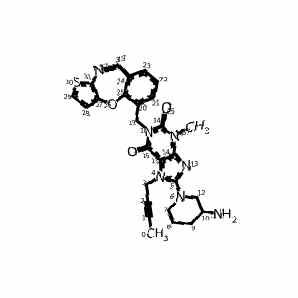 CC#CCn1c(N2CCCC(N)C2)nc2c1c(=O)n(Cc1cccc3c1Oc1ccsc1N=C3)c(=O)n2C